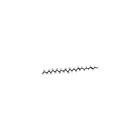 CC/C=C/CCCC/C=C/CCCCCCCCCCCCCCCCC